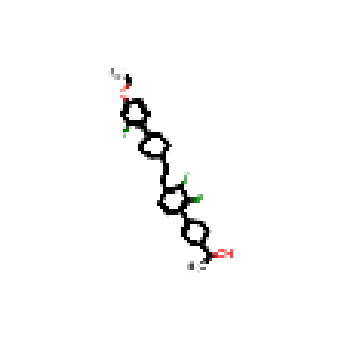 CCOc1ccc(C2CCC(CCc3ccc(C4=CCC(C(C)O)CC4)c(F)c3F)CC2)c(F)c1